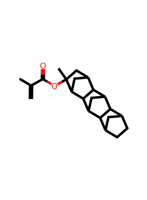 C=C(C)C(=O)OC1(C)CC2CC1C1C3CC(C4C5CCC(C5)C34)C21